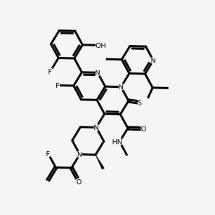 C=C(F)C(=O)N1CCN(c2c(C(=O)NC)c(=S)n(-c3c(C)ccnc3C(C)C)c3nc(-c4c(O)cccc4F)c(F)cc23)C[C@H]1C